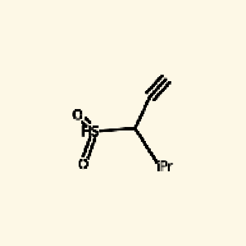 C#CC(C(C)C)[SH](=O)=O